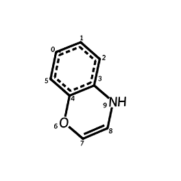 [c]1ccc2c(c1)OC=CN2